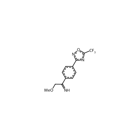 COCC(=N)c1ccc(-c2noc(C(F)(F)F)n2)cc1